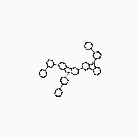 c1ccc(-c2ccc(-n3c4ccc(-c5ccc6c(c5)c5ccccc5n6-c5cccc(-c6ccccc6)c5)cc4c4ccc(-c5cccc(-c6ccccc6)c5)cc43)cc2)cc1